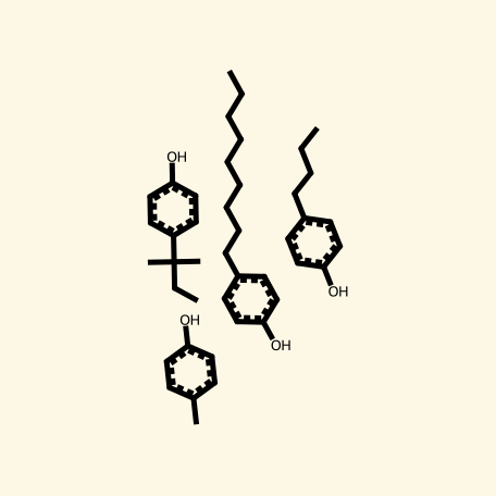 CCC(C)(C)c1ccc(O)cc1.CCCCCCCCCc1ccc(O)cc1.CCCCc1ccc(O)cc1.Cc1ccc(O)cc1